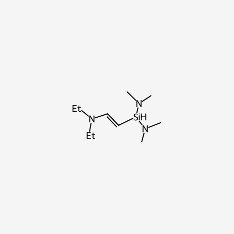 CCN(C=C[SiH](N(C)C)N(C)C)CC